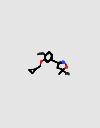 COc1ccc(C2=NOC(C)(C#N)C2)cc1OCC1CC1